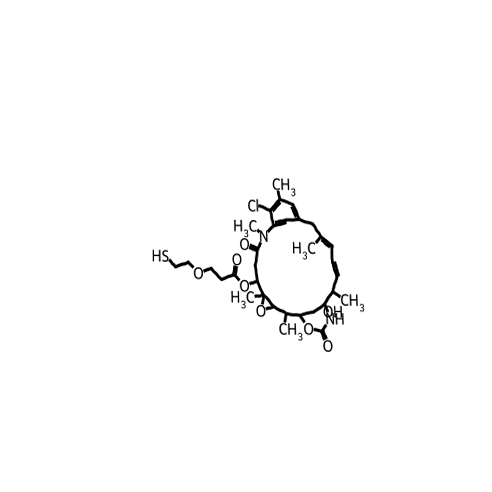 C/C1=C\C=C\C(C)C2(O)CC(OC(=O)N2)C(C)C2OC2(C)C(OC(=O)CCOCCS)CC(=O)N(C)c2cc(cc(C)c2Cl)C1